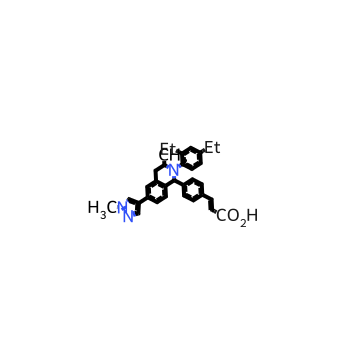 CCc1ccc(N2C(C)Cc3cc(-c4cnn(C)c4)ccc3C2c2ccc(/C=C/C(=O)O)cc2)c(CC)c1